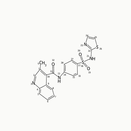 Cc1cnc2ccccc2c1C(=O)Nc1ccc(S(=O)(=O)Nc2nccs2)cc1